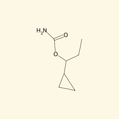 CCC(OC(N)=O)C1CC1